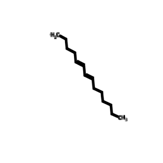 [CH2]CCCC=CC=CCCCCCC